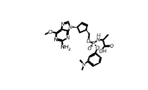 COc1nc(N)nc2c1ncn2[C@H]1C=C[C@@H](COP(=O)(NC(C)C(=O)O)Oc2cccc(N(C)C)c2)C1